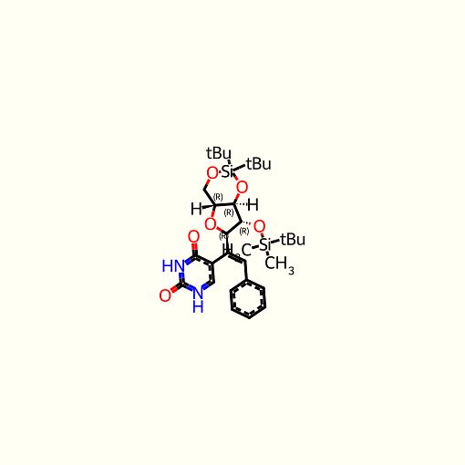 CC(C)(C)[Si](C)(C)O[C@H]1[C@@H]2O[Si](C(C)(C)C)(C(C)(C)C)OC[C@H]2O[C@@H]1C(=Cc1ccccc1)c1c[nH]c(=O)[nH]c1=O